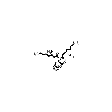 CCCCC[C@H](N)CC(=O)N(C(=O)C[C@@H](N)CCCCC)[C@@H](CC(C)C)C(=O)O